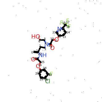 C=C(CCN(CCO)C(=O)COc1ccc(C(F)(F)F)nc1)NC(=O)COc1ccc(Cl)c(F)c1